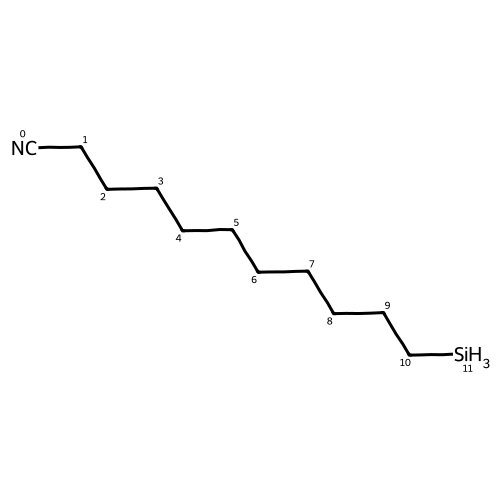 N#CCCCCCCCCCC[SiH3]